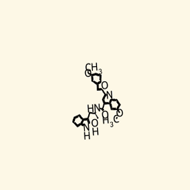 COc1ccc2oc(-c3cc(C(=O)N[C@@H](CO)Cc4c[nH]c5ccccc45)c4cc(OC)ccc4n3)cc2c1